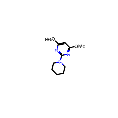 COc1cc(OC)nc(N2CCCCC2)n1